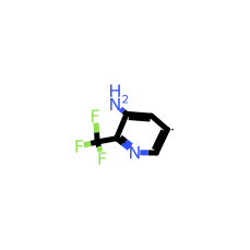 Nc1c[c]cnc1C(F)(F)F